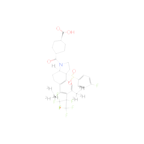 [2H]C([2H])([2H])c1cc2c(c(C([2H])([2H])[2H])c1C(F)(C(F)(F)F)C(F)(F)F)CC[C@H]1N(C(=O)[C@H]3CC[C@H](C(=O)O)CC3)CC[C@@]21S(=O)(=O)c1ccc(F)cc1